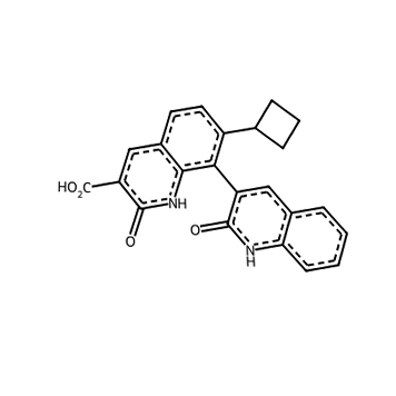 O=C(O)c1cc2ccc(C3CCC3)c(-c3cc4ccccc4[nH]c3=O)c2[nH]c1=O